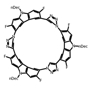 CCCCCCCCCCn1c2cc(F)c3cc2c2cc(c(F)cc21)n1cc(nn1)c1cc2c4cc(c(F)cc4n(CCCCCCCCCC)c2cc1F)n1cc(nn1)c1cc2c4cc(c(F)cc4n(CCCCCCCCCC)c2cc1F)n1cc3nn1